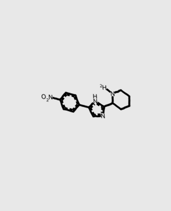 [2H]N1CCCCC1c1ncc(-c2ccc([N+](=O)[O-])cc2)[nH]1